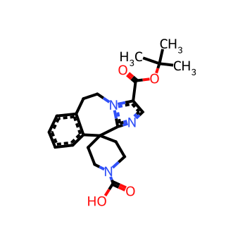 CC(C)(C)OC(=O)c1cnc2n1CCc1ccccc1C21CCN(C(=O)O)CC1